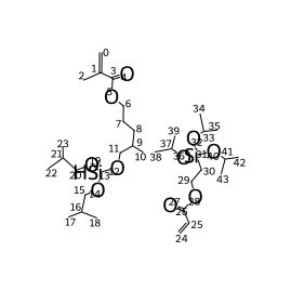 C=C(C)C(=O)OCCCC(C)CO[SiH](OCC(C)C)OCC(C)C.C=CC(=O)OCC[Si](OC(C)C)(OC(C)C)OC(C)C